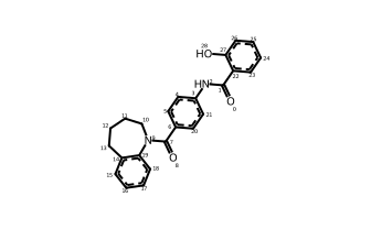 O=C(Nc1ccc(C(=O)N2CCCCc3ccccc32)cc1)c1ccccc1O